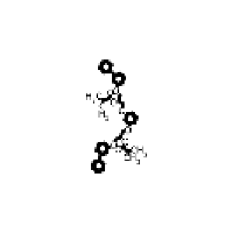 C=C(C)C(=O)OC(COc1cccc(OCC(COc2cccc(-c3ccccc3)c2)OC(=O)C(=C)C)c1)COc1cccc(-c2ccccc2)c1